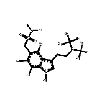 [2H]c1c(CS(=O)(=O)N([2H])C)c([2H])c2c(CCN(C([2H])([2H])[2H])C([2H])([2H])[2H])cn([2H])c2c1[2H]